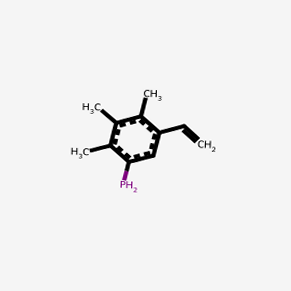 C=Cc1cc(P)c(C)c(C)c1C